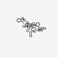 CCCCc1nc(O)c(C(=O)NNC(=O)Cc2noc3ccccc23)c(O)c1-c1c(OC)cccc1OC